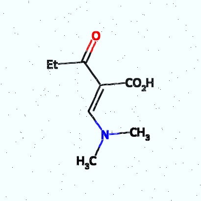 CCC(=O)C(=CN(C)C)C(=O)O